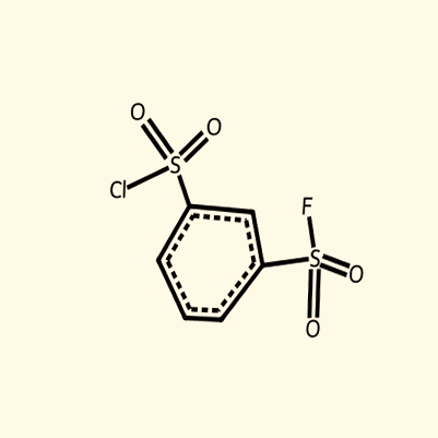 O=S(=O)(F)c1cccc(S(=O)(=O)Cl)c1